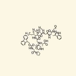 CC[C@H](C)[C@H](NC(=O)CNC(=O)[C@H](CCC(=O)O)NC(=O)[C@@H]1CCCN1C(=O)CNC(=O)OCC1c2ccccc2-c2ccccc21)C(=O)N[C@@H](C)C(=O)NCC(=O)N[C@@H](Cc1c[nH]c2ccccc12)C(=O)NC[C]=O